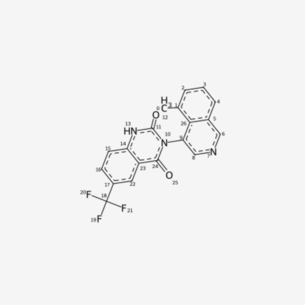 Cc1cccc2cncc(-n3c(=O)[nH]c4ccc(C(F)(F)F)cc4c3=O)c12